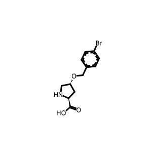 O=C(O)[C@@H]1C[C@@H](OCc2ccc(Br)cc2)CN1